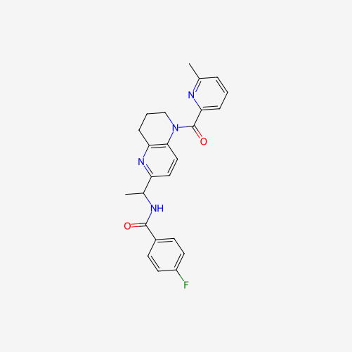 Cc1cccc(C(=O)N2CCCc3nc(C(C)NC(=O)c4ccc(F)cc4)ccc32)n1